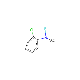 CC(=O)N(F)c1ccccc1Cl